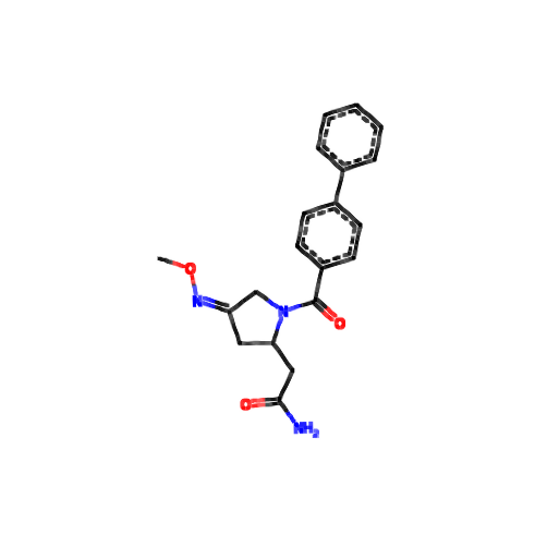 CON=C1CC(CC(N)=O)N(C(=O)c2ccc(-c3ccccc3)cc2)C1